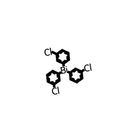 Clc1ccc[c]([Bi]([c]2cccc(Cl)c2)[c]2cccc(Cl)c2)c1